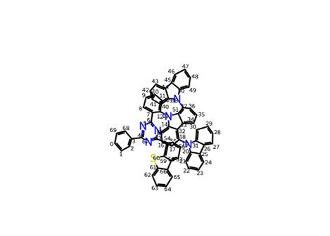 c1ccc(-c2nc(-c3ccccc3-n3c4cccc(-n5c6ccccc6c6ccccc65)c4c4cccc(-n5c6ccccc6c6ccccc65)c43)nc(-c3cccc4c3sc3ccccc34)n2)cc1